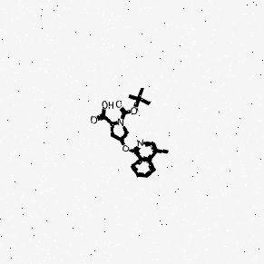 Cc1cnc(OC2CC(C(=O)O)N(C(=O)OC(C)(C)C)C2)c2ccccc12